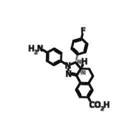 Nc1ccc(N2N=C3c4ccc(C(=O)O)cc4CC[C@H]3[C@H]2c2ccc(F)cc2)cc1